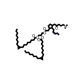 CC/C=C\CC1C(CC(=O)CCCN(C)C)CCC1CC(=O)OCC(COC(=O)CCCCCCCC1CC1CCCCCCCC)OC(=O)CCCCCCCC1CC1CCCCCCCC